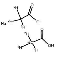 [2H]C([2H])([2H])C(=O)[O-].[2H][13C]([2H])([2H])C(=O)O.[Na+]